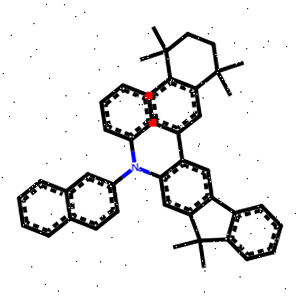 CC1(C)CCC(C)(C)c2cc(-c3cc4c(cc3N(c3ccccc3)c3ccc5ccccc5c3)C(C)(C)c3ccccc3-4)ccc21